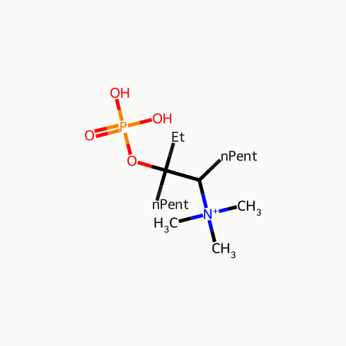 CCCCCC(C(CC)(CCCCC)OP(=O)(O)O)[N+](C)(C)C